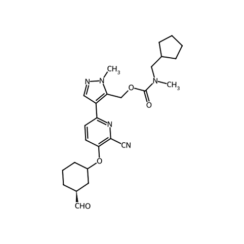 CN(CC1CCCC1)C(=O)OCc1c(-c2ccc(OC3CCC[C@H](C=O)C3)c(C#N)n2)cnn1C